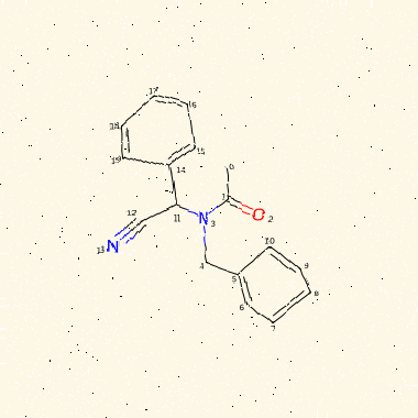 CC(=O)N(Cc1ccccc1)C(C#N)c1ccccc1